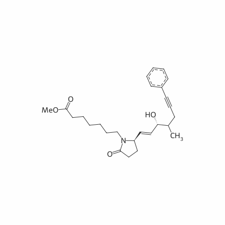 COC(=O)CCCCCCN1C(=O)CC[C@@H]1/C=C/[C@H](O)C(C)CC#Cc1ccccc1